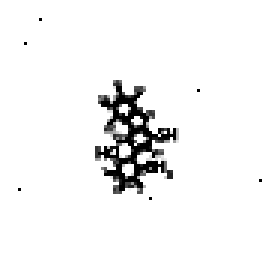 Bc1c(C)c(C)c(C)c(O)c1-c1c(C)c(S)c2c(c1C)-c1c(C)c(C)c(C)c(C)c1C2